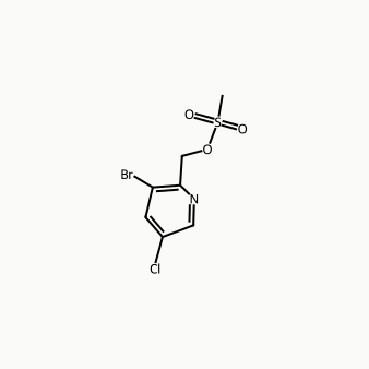 CS(=O)(=O)OCc1ncc(Cl)cc1Br